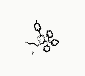 CCCCSC=C(NC(=O)c1ccc(C)cc1)[P+](c1ccccc1)(c1ccccc1)c1ccccc1.[I-]